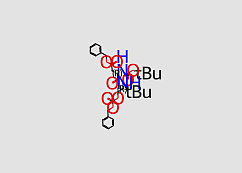 CC(C)(C)OC(=O)N[C@H](CC(=O)OCc1ccccc1)C(=O)N[C@@H](COC(=O)OCc1ccccc1)C(C)(C)C